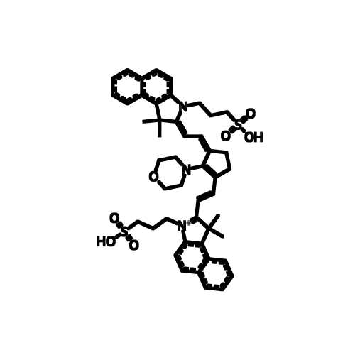 CC1(C)C(=CC=C2CCC(C=CC3=[N+](CCCS(=O)(=O)O)c4ccc5ccccc5c4C3(C)C)=C2N2CCOCC2)N(CCCS(=O)(=O)O)c2ccc3ccccc3c21